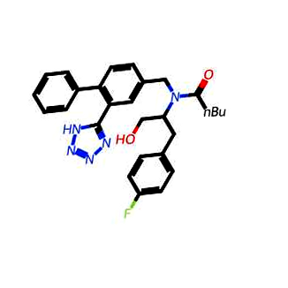 CCCCC(=O)N(Cc1ccc(-c2ccccc2)c(-c2nnn[nH]2)c1)C(CO)Cc1ccc(F)cc1